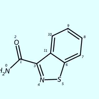 NC(=O)c1nsc2cc[c]cc12